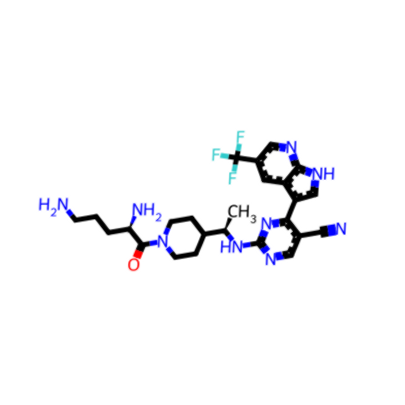 C[C@@H](Nc1ncc(C#N)c(-c2c[nH]c3ncc(C(F)(F)F)cc23)n1)C1CCN(C(=O)[C@H](N)CCCN)CC1